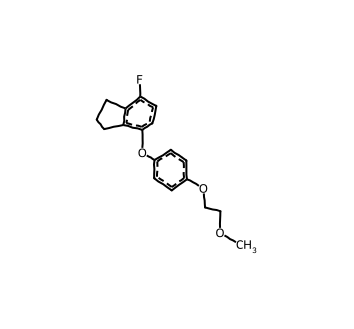 COCCOc1ccc(Oc2ccc(F)c3c2CCC3)cc1